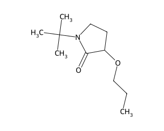 CCCOC1CCN(C(C)(C)C)C1=O